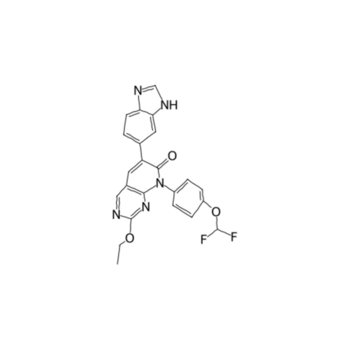 CCOc1ncc2cc(-c3ccc4nc[nH]c4c3)c(=O)n(-c3ccc(OC(F)F)cc3)c2n1